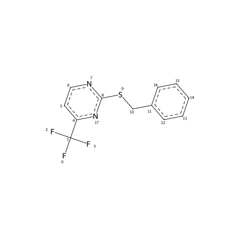 FC(F)(F)c1ccnc(SCc2ccccc2)n1